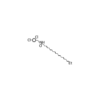 CCC=CCC=CCC=CCC=CCC=CCC=CCCC(=O)NCCc1ccc(Cl)cc1Cl